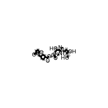 O=C(OCOC(=O)N1C=Nc2c(ncn2[C@@H]2C[C@@H](O)[C@H](CO)O2)[C@H](O)C1)C1CCC(CN2C(=O)C=CC2=O)CC1